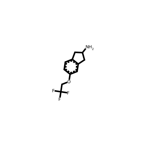 NC1Cc2ccc(OCC(F)(F)F)cc2C1